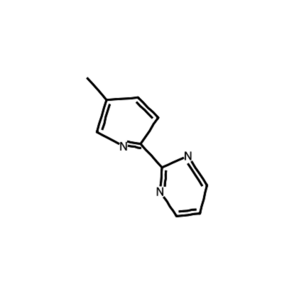 Cc1ccc(-c2ncccn2)nc1